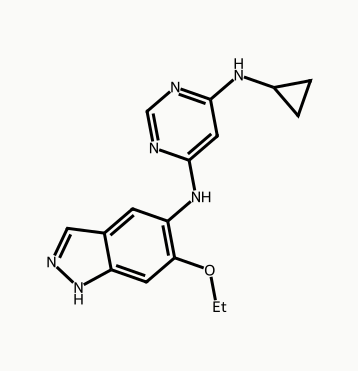 CCOc1cc2[nH]ncc2cc1Nc1cc(NC2CC2)ncn1